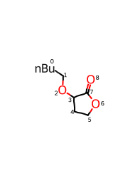 CCCCCOC1CCOC1=O